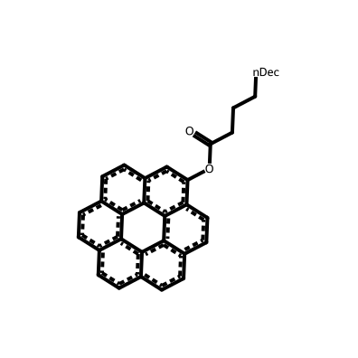 CCCCCCCCCCCCCC(=O)Oc1cc2ccc3ccc4ccc5ccc6ccc1c1c6c5c4c3c21